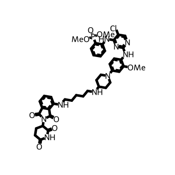 COc1cc(N2CCC(NCCCCCNc3cccc4c3C(=O)N(C3CCC(=O)NC3=O)C4=O)CC2)ccc1Nc1ncc(Cl)c(Nc2ccccc2P(=O)(OC)OC)n1